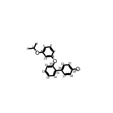 CC(C)Oc1cccc(Oc2ccccc2-c2ccc([O])cc2)c1